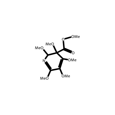 COOC(=O)C1(OC)C(OC)=C(OC)C(OC)=NC1OC